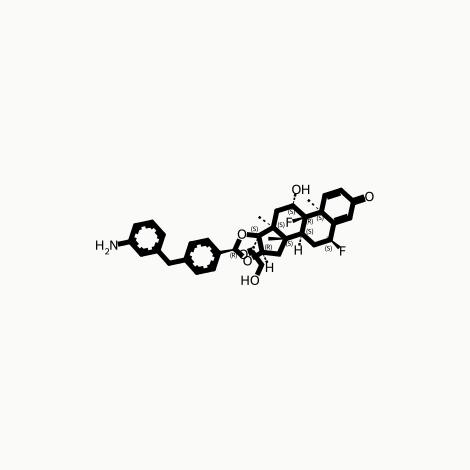 C[C@]12C[C@H](O)[C@@]3(F)[C@@H](C[C@H](F)C4=CC(=O)C=C[C@@]43C)[C@]1(C)C[C@H]1O[C@@H](c3ccc(Cc4cccc(N)c4)cc3)O[C@]12C(=O)CO